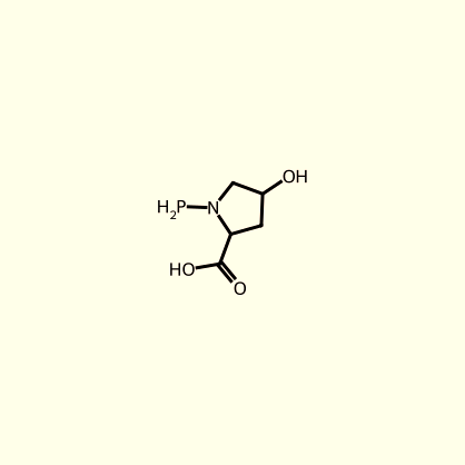 O=C(O)C1CC(O)CN1P